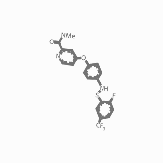 CNC(=O)c1cc(Oc2ccc(NSc3cc(C(F)(F)F)ccc3F)cc2)ccn1